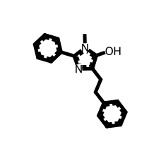 Cn1c(-c2ccccc2)nc(CCc2ccccc2)c1O